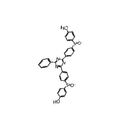 [O-][S+](c1ccc(O)cc1)c1ccc(-c2nc(-c3ccccc3)nc(-c3ccc([S+]([O-])c4ccc(O)cc4)cc3)n2)cc1